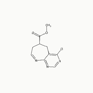 COC(=O)C1CC=Nc2ncnc(Cl)c2C1